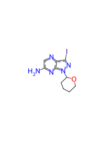 Nc1cnc2c(I)nn(C3CCCCO3)c2n1